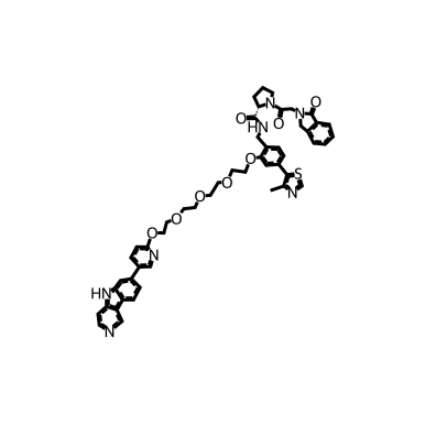 Cc1ncsc1-c1ccc(CNC(=O)[C@@H]2CCCN2C(=O)CN2Cc3ccccc3C2=O)c(OCCOCCOCCOCCOc2ccc(-c3ccc4c(c3)[nH]c3ccncc34)cn2)c1